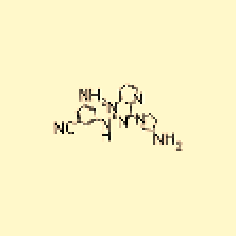 N#Cc1cc(N)cc(Nc2nc(N3CCC(N)C3)c3ncccc3n2)c1